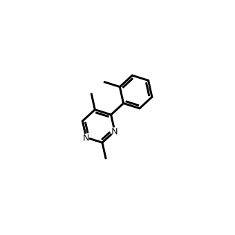 Cc1ncc(C)c(-c2ccccc2C)n1